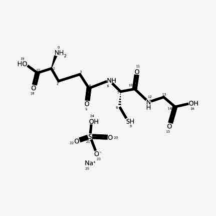 N[C@@H](CCC(=O)N[C@@H](CS)C(=O)NCC(=O)O)C(=O)O.O=S(=O)([O-])O.[Na+]